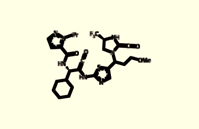 COCCC(c1cnc(NC(=C=O)[C@@H](NC(=O)c2ccnn2C(C)C)C2CCCCC2)s1)N1C[C@@H](C(F)(F)F)NC1=C=O